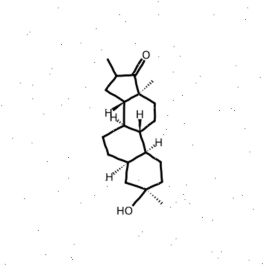 CC1C[C@H]2[C@@H]3CC[C@@H]4C[C@](C)(O)CC[C@@H]4[C@H]3CC[C@]2(C)C1=O